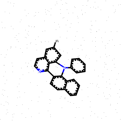 CC(C)c1cc2c3c(nccc3c1)-c1ccc3ccccc3c1N2c1ccccc1